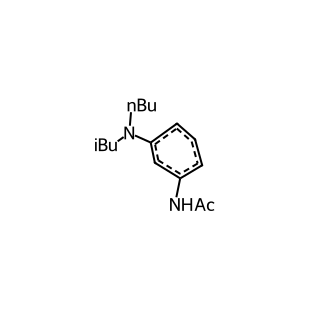 CCCCN(c1cccc(NC(C)=O)c1)C(C)CC